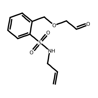 C=CCNS(=O)(=O)c1ccccc1COCC=O